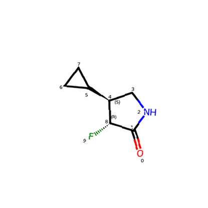 O=C1NC[C@H](C2CC2)[C@H]1F